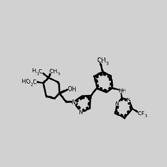 Cc1cc(Nc2nccc(C(F)(F)F)n2)cc(-c2cnn(CC3(O)CCC(C(=O)O)C(C)(C)C3)c2)c1